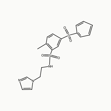 Cc1ccc(S(=O)(=O)c2ccccc2)cc1S(=O)(=O)NCCn1ccnc1